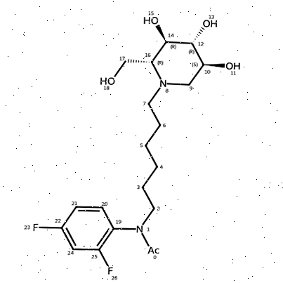 CC(=O)N(CCCCCCN1C[C@H](O)[C@@H](O)[C@H](O)[C@H]1CO)c1ccc(F)cc1F